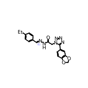 CCc1ccc(/C=N/NC(=O)Cn2nnnc2-c2ccc3c(c2)OCO3)cc1